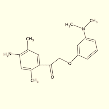 Cc1cc(C(=O)COc2cccc(N(C)C)c2)c(C)cc1N